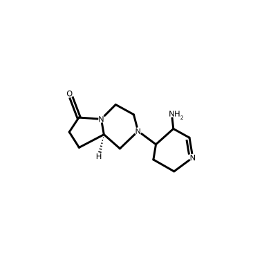 NC1C=NCCC1N1CCN2C(=O)CC[C@@H]2C1